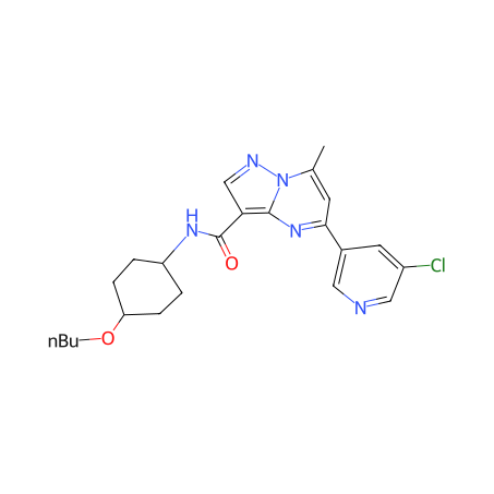 CCCCOC1CCC(NC(=O)c2cnn3c(C)cc(-c4cncc(Cl)c4)nc23)CC1